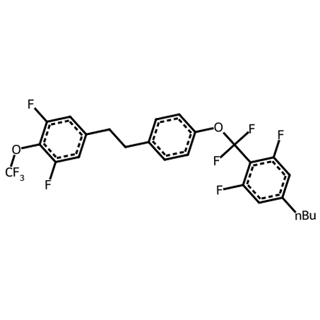 CCCCc1cc(F)c(C(F)(F)Oc2ccc(CCc3cc(F)c(OC(F)(F)F)c(F)c3)cc2)c(F)c1